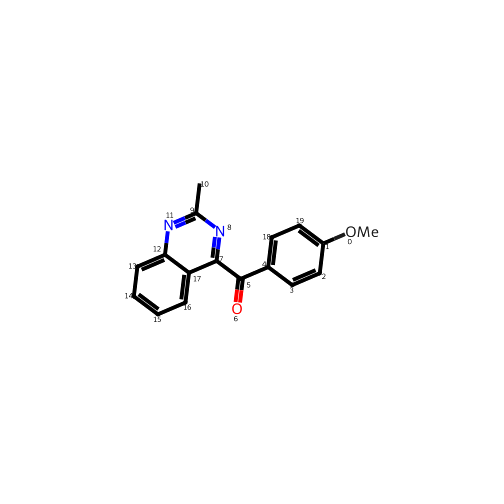 COc1ccc(C(=O)c2nc(C)nc3ccccc23)cc1